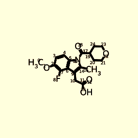 COc1ccc2c(c1F)c(CC(=O)O)c(C)n2C(=O)C1CCOCC1